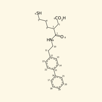 O=C(O)CC(CCCS)C(=O)NCCc1ccc(-c2ccccc2)cc1